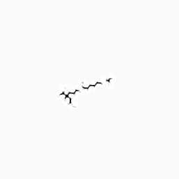 CC(=O)OCCCCCC(=O)OCCCC(C)(CC=O)C(C)=O